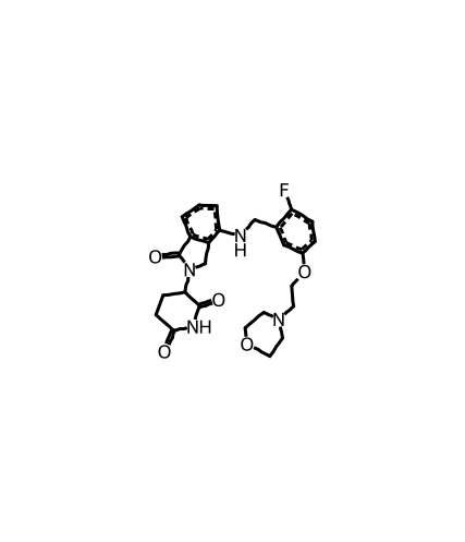 O=C1CCC(N2Cc3c(NCc4cc(OCCN5CCOCC5)ccc4F)cccc3C2=O)C(=O)N1